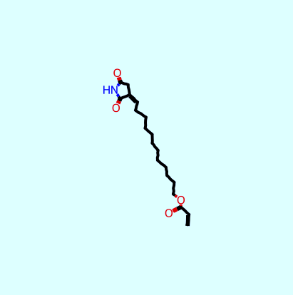 C=CC(=O)OCCCCCCCCCCCC=C1CC(=O)NC1=O